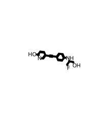 OCC(CF)Nc1ccc(C#Cc2ccc(O)nc2)cc1